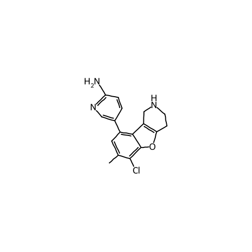 Cc1cc(-c2ccc(N)nc2)c2c3c(oc2c1Cl)CCNC3